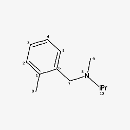 Cc1ccccc1CN(C)C(C)C